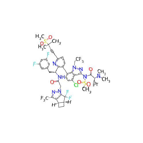 CC(C)[C@@H](C(=O)N(c1nn(CC(F)(F)F)c2c(-c3ccc(C#CC(C)(C)S(C)(=O)=O)nc3[C@H](Cc3cc(F)cc(F)c3)NC(=O)Cn3nc(C(F)(F)F)c4c3C(F)(F)[C@@H]3CC[C@H]43)ccc(Cl)c12)S(C)(=O)=O)N(C)C